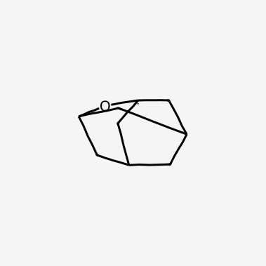 C1[C]2CC3CC1CC(C3)O2